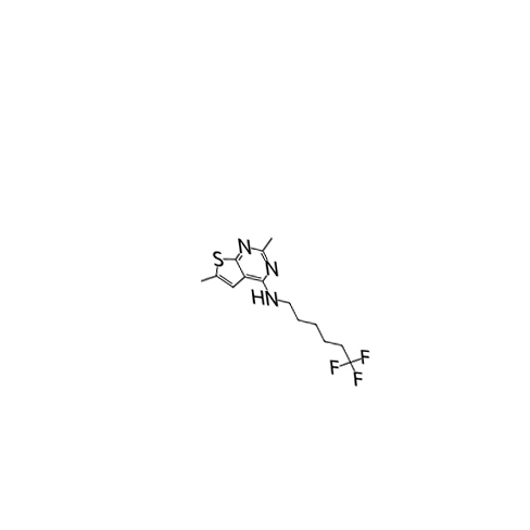 Cc1nc(NCCCCCC(F)(F)F)c2cc(C)sc2n1